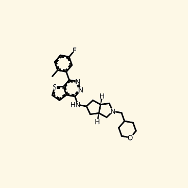 Cc1ccc(F)cc1-c1nnc(NC2C[C@@H]3CN(CC4CCOCC4)C[C@@H]3C2)c2ccsc12